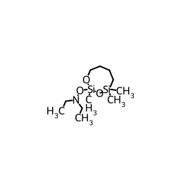 CCN(CC)O[Si]1(C)OCCCC[Si](C)(C)O1